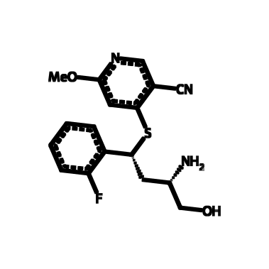 COc1cc(S[C@H](C[C@H](N)CO)c2ccccc2F)c(C#N)cn1